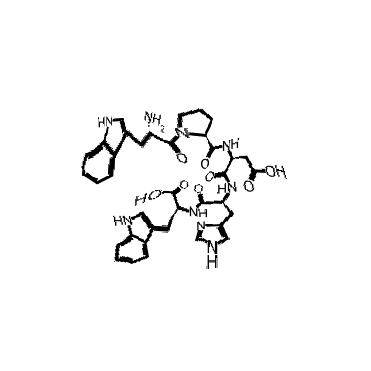 N[C@@H](Cc1c[nH]c2ccccc12)C(=O)N1CCC[C@H]1C(=O)N[C@@H](CC(=O)O)C(=O)N[C@@H](Cc1c[nH]cn1)C(=O)N[C@@H](Cc1c[nH]c2ccccc12)C(=O)O